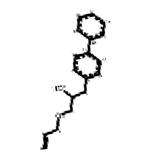 C=CCOCC(O)Cc1ccc(-c2ccccc2)cc1